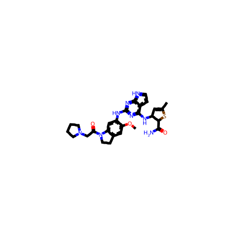 COc1cc2c(cc1Nc1nc(NC3C=C(C)SC3C(N)=O)c3cc[nH]c3n1)N(C(=O)CN1CCCC1)CC2